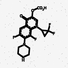 O=C(O)Oc1cn(C2CC2(F)F)c2c(F)c(N3CCNCC3)c(F)cc2c1=O